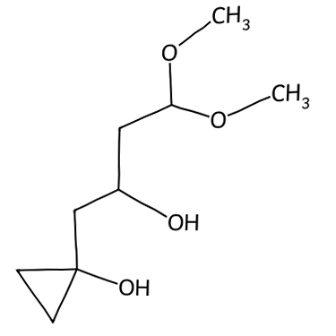 COC(CC(O)CC1(O)CC1)OC